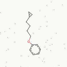 C1=C(CCCCOc2ccccc2)C1